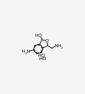 Cl.Cl.NCC1OB(O)c2cc(N)ccc21